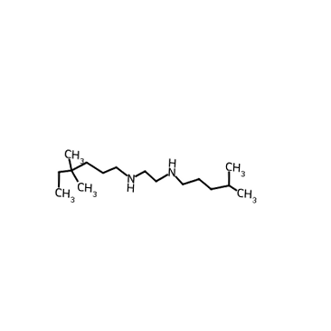 CCC(C)(C)CCCNCCNCCCC(C)C